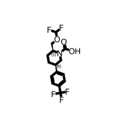 O=C(O)N1C[C@@H](c2ccc(C(F)(F)F)cc2)CC[C@H]1COC(F)F